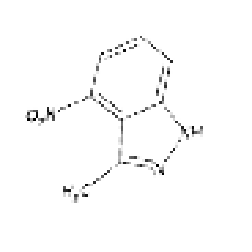 Cc1n[nH]c2cccc([N+](=O)[O-])c12